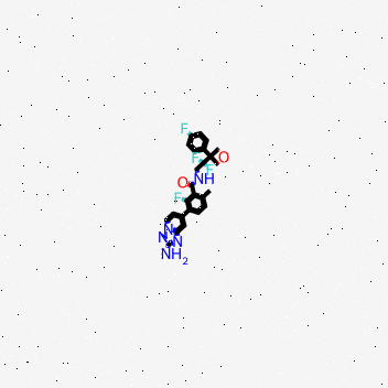 Cc1ccc(-c2ccn3nc(N)nc3c2)c(F)c1C(=O)NCC(F)(F)C1(c2ccc(F)cc2)COC1